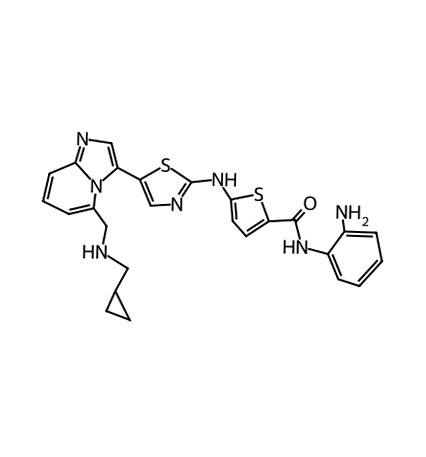 Nc1ccccc1NC(=O)c1ccc(Nc2ncc(-c3cnc4cccc(CNCC5CC5)n34)s2)s1